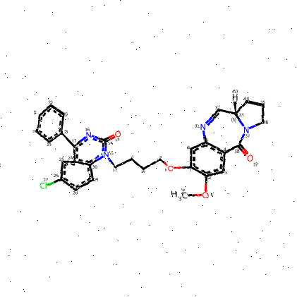 COc1cc2c(cc1OCCCCn1c(=O)nc(-c3ccccc3)c3cc(Cl)ccc31)N=C[C@@H]1CCCN1C2=O